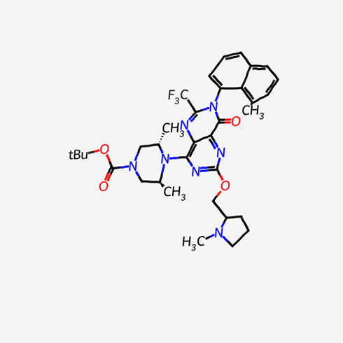 Cc1cccc2cccc(-n3c(C(F)(F)F)nc4c(N5[C@@H](C)CN(C(=O)OC(C)(C)C)C[C@@H]5C)nc(OCC5CCCN5C)nc4c3=O)c12